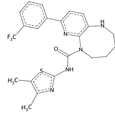 Cc1nc(NC(=O)N2CCCCNc3ccc(-c4cccc(C(F)(F)F)c4)nc32)sc1C